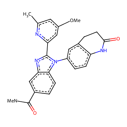 CNC(=O)c1ccc2c(c1)nc(-c1cc(OC)cc(C)n1)n2-c1ccc2c(c1)CCC(=O)N2